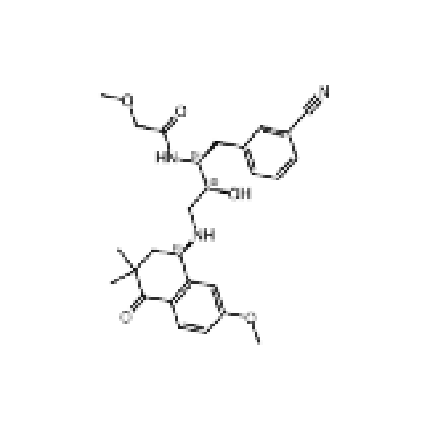 COCC(=O)N[C@@H](Cc1cccc(C#N)c1)[C@@H](O)CN[C@@H]1CC(C)(C)C(=O)c2ccc(OC)cc21